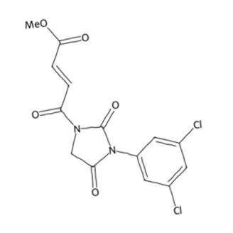 COC(=O)/C=C/C(=O)N1CC(=O)N(c2cc(Cl)cc(Cl)c2)C1=O